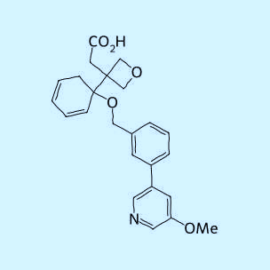 COc1cncc(-c2cccc(COC3(C4(CC(=O)O)COC4)C=CC=CC3)c2)c1